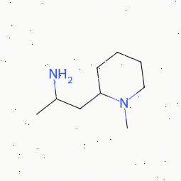 CC(N)CC1CCCCN1C